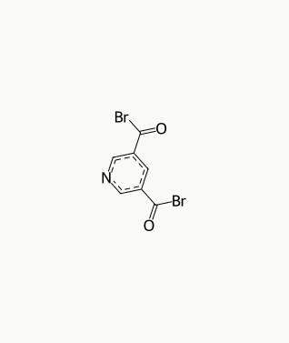 O=C(Br)c1cncc(C(=O)Br)c1